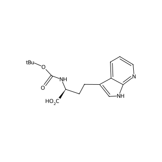 CC(C)(C)OC(=O)N[C@@H](CCc1c[nH]c2ncccc12)C(=O)O